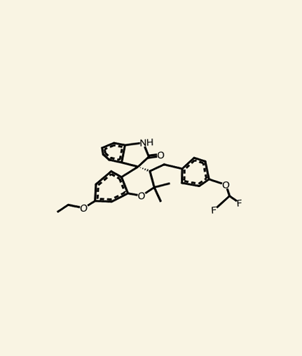 CCOc1ccc2c(c1)OC(C)(C)C(Cc1ccc(OC(F)F)cc1)[C@]21C(=O)Nc2ccccc21